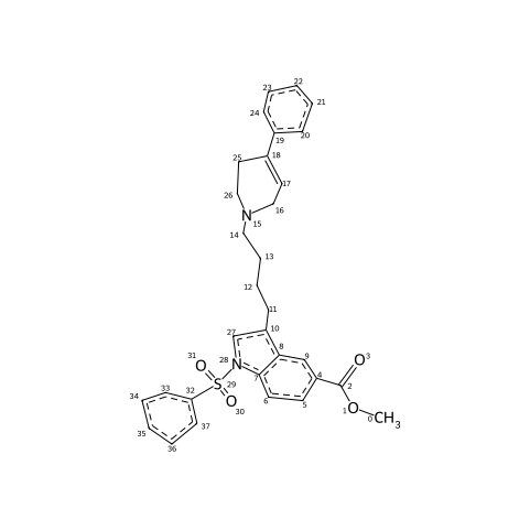 COC(=O)c1ccc2c(c1)c(CCCCN1CC=C(c3ccccc3)CC1)cn2S(=O)(=O)c1ccccc1